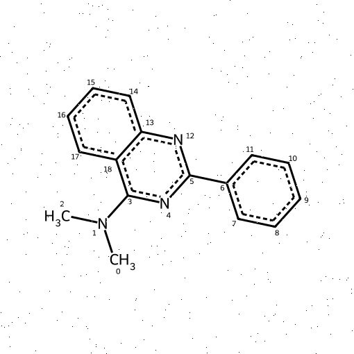 CN(C)c1nc(-c2ccccc2)nc2ccccc12